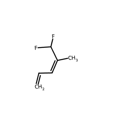 C=CC=C(C)C(F)F